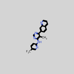 Cc1c(Nc2ccc(C(F)(F)F)cn2)ncnc1-c1ccc2cccnc2c1